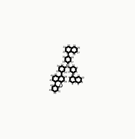 c1cc(-c2cccc3ccccc23)cc(N(c2ccc(-c3cccc4ccccc34)cc2)c2cccc(-c3ccc4c5c(cccc35)-c3ccccc3O4)c2)c1